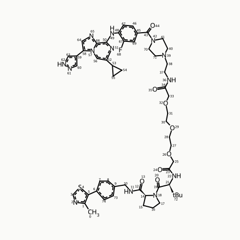 Cc1ncsc1-c1ccc(CNC(=O)[C@@H]2CCCN2C(=O)[C@@H](NC(=O)COCCOCCOCC(=O)NCCN2CCN(C(=O)c3ccc(Nc4nc(C5CC5)cn5c(-c6cn[nH]c6)cnc45)c(F)c3)CC2)C(C)(C)C)cc1